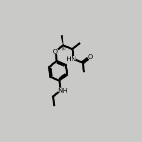 CCNc1ccc(O[C@@H](C)C(C)NC(C)=O)cc1